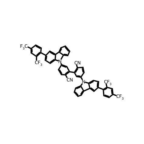 N#Cc1ccc(-n2c3ccccc3c3cc(-c4ccc(C(F)(F)F)cc4C(F)(F)F)ccc32)cc1-c1cc(-n2c3ccccc3c3cc(-c4ccc(C(F)(F)F)cc4C(F)(F)F)ccc32)ccc1C#N